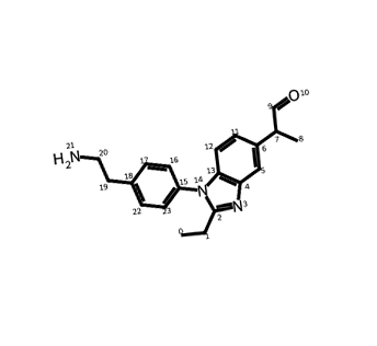 CCc1nc2cc(C(C)C=O)ccc2n1-c1ccc(CCN)cc1